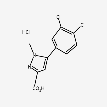 Cl.Cn1nc(C(=O)O)cc1-c1ccc(Cl)c(Cl)c1